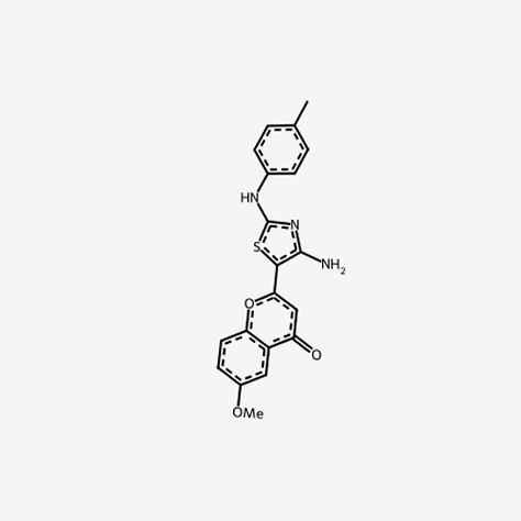 COc1ccc2oc(-c3sc(Nc4ccc(C)cc4)nc3N)cc(=O)c2c1